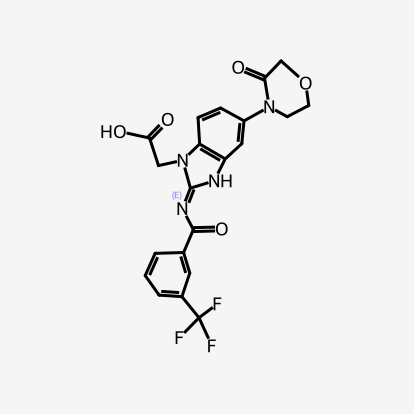 O=C(O)Cn1/c(=N/C(=O)c2cccc(C(F)(F)F)c2)[nH]c2cc(N3CCOCC3=O)ccc21